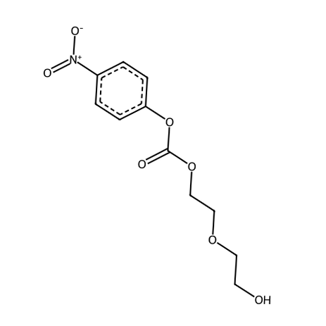 O=C(OCCOCCO)Oc1ccc([N+](=O)[O-])cc1